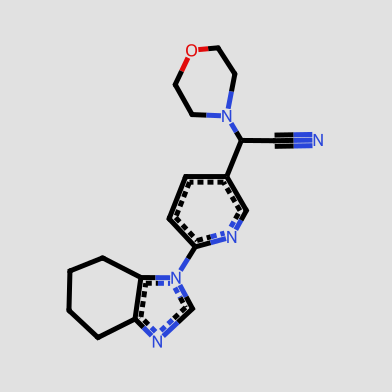 N#CC(c1ccc(-n2cnc3c2CCCC3)nc1)N1CCOCC1